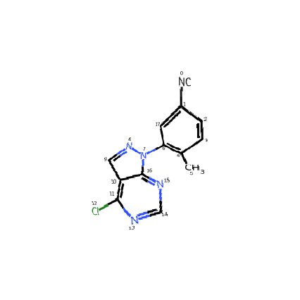 [C-]#[N+]c1ccc(C)c(-n2ncc3c(Cl)ncnc32)c1